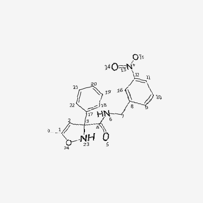 CC1=CC(C(=O)NCc2cccc([N+](=O)[O-])c2)(c2ccccc2)NO1